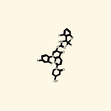 O=C(NC(c1c(F)cccc1F)C(F)(F)F)Oc1cn(-c2ccc(F)cc2F)c2nc(N3CCC(O)CC3=O)ccc2c1=O